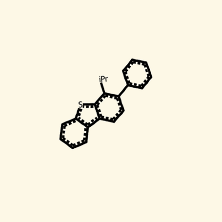 CC(C)c1c(-c2ccccc2)ccc2c1sc1ccccc12